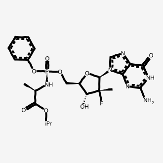 CC(C)OC(=O)[C@@H](C)N[P@@](=O)(OC[C@H]1O[C@@H](n2cnc3c(=O)[nH]c(N)nc32)[C@](C)(F)[C@@H]1O)Oc1ccccc1